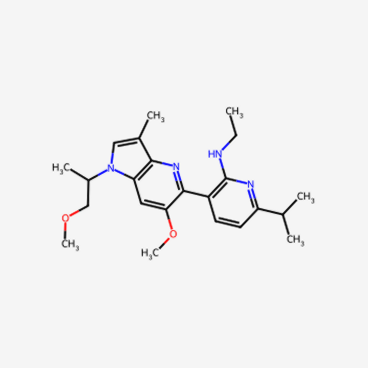 CCNc1nc(C(C)C)ccc1-c1nc2c(C)cn(C(C)COC)c2cc1OC